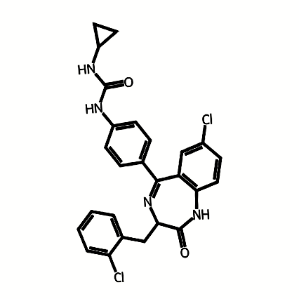 O=C(Nc1ccc(C2=NC(Cc3ccccc3Cl)C(=O)Nc3ccc(Cl)cc32)cc1)NC1CC1